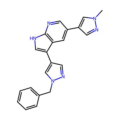 Cn1cc(-c2cnc3[nH]cc(-c4cnn(Cc5ccccc5)c4)c3c2)cn1